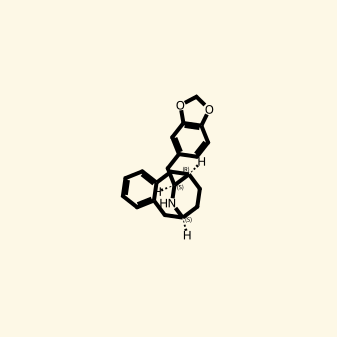 c1ccc2c(c1)C[C@@H]1CC[C@H](C2)[C@H](Cc2ccc3c(c2)OCO3)N1